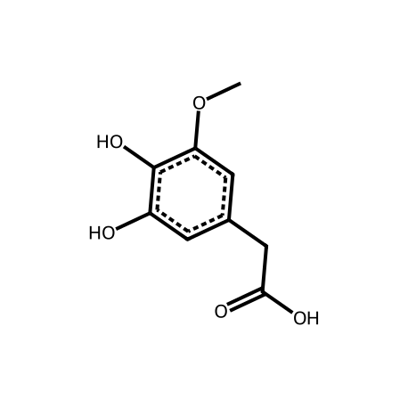 COc1cc(CC(=O)O)cc(O)c1O